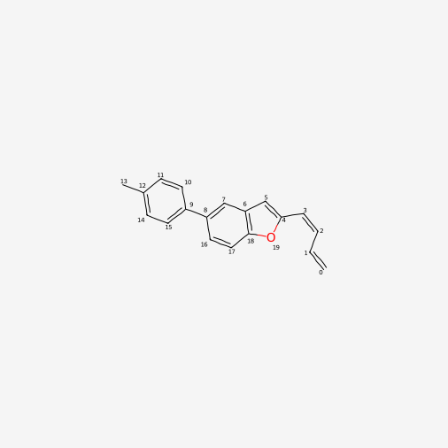 C=C/C=C\c1cc2cc(-c3ccc(C)cc3)ccc2o1